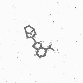 CN1C2CCC1CC(c1cc3cccc(C(N)=O)c3o1)C2